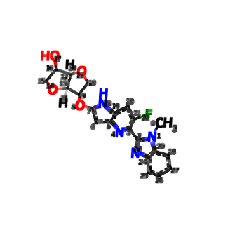 Cn1c(-c2nc3cc(O[C@@H]4CO[C@H]5[C@@H]4OC[C@H]5O)[nH]c3cc2F)nc2ccccc21